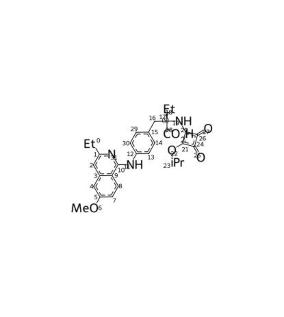 CCc1cc2cc(OC)ccc2c(Nc2ccc(C[C@](CC)(Nc3c(OC(C)C)c(=O)c3=O)C(=O)O)cc2)n1